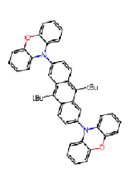 CC(C)(C)c1c2ccc(N3c4ccccc4Oc4ccccc43)cc2c(C(C)(C)C)c2ccc(N3c4ccccc4Oc4ccccc43)cc12